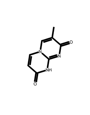 Cc1cn2ccc(=O)[nH]c2nc1=O